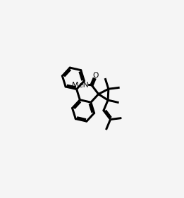 CNC(=O)C1(c2ccccc2-c2ccccc2)C(C)(C)C1(C)C=C(C)C